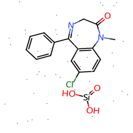 CN1C(=O)CN=C(c2ccccc2)c2cc(Cl)ccc21.O=[Si](O)O